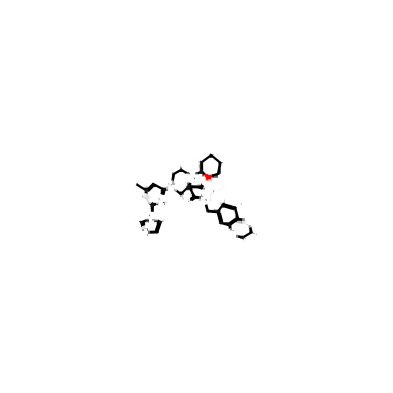 Cc1cc(N2CCN(C3CCCCC3)C(C(N)=O)(C(=O)NCc3ccc4c(c3)OCCO4)C2)nc(-n2ccnc2)n1